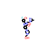 COc1cc(-c2nc3ccc(N4CCCN(CCO)CC4)cc3c(=O)n2CC(=O)NCC(C)C)ccc1F